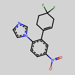 O=[N+]([O-])c1ccc(-n2ccnc2)c(C2=CCC(F)(F)CC2)c1